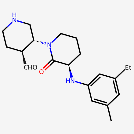 CCc1cc(C)cc(N[C@@H]2CCCN([C@H]3CNCC[C@@H]3C=O)C2=O)c1